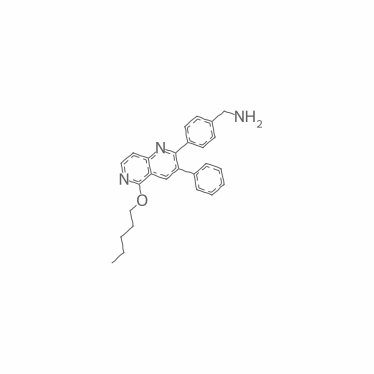 CCCCCOc1nccc2nc(-c3ccc(CN)cc3)c(-c3ccccc3)cc12